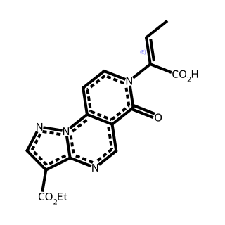 C/C=C(\C(=O)O)n1ccc2c(cnc3c(C(=O)OCC)cnn32)c1=O